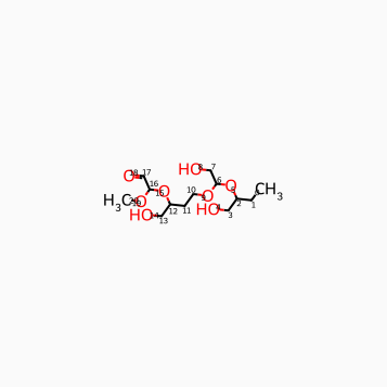 CCC(CO)OC(CO)OCCC(CO)OC(C=O)OC